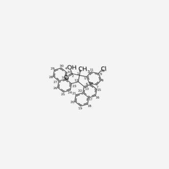 CC(C(=O)O)(c1cccc(Cl)c1)C(c1cccc2ccccc12)c1cccc2ccccc12